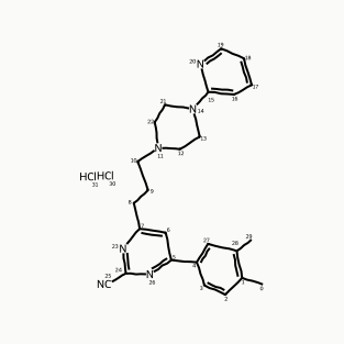 Cc1ccc(-c2cc(CCCN3CCN(c4ccccn4)CC3)nc(C#N)n2)cc1C.Cl.Cl